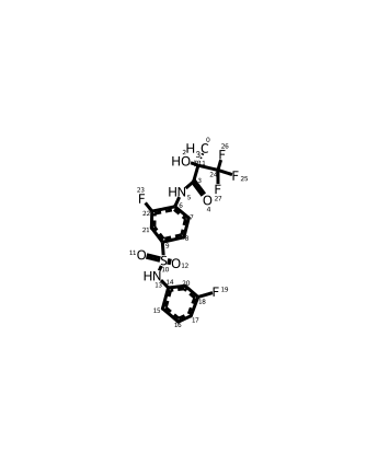 C[C@@](O)(C(=O)Nc1ccc(S(=O)(=O)Nc2cccc(F)c2)cc1F)C(F)(F)F